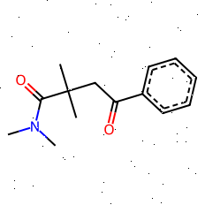 CN(C)C(=O)C(C)(C)CC(=O)c1ccccc1